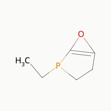 CCP1CCC2=C1O2